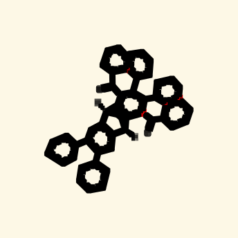 O=C(OC1C(OC(=O)c2ccccc2)[C@H]2c3cc(-c4ccccc4)c(-c4ccccc4)cc3[C@H]1c1cc(-c3ccccc3)c(-c3ccccc3)cc12)c1ccccc1